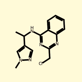 CC(Nc1nc(CCl)nc2ccccc12)c1cnn(C)c1